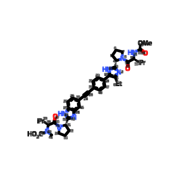 CCc1nc([C@@H]2CCCN2C(=O)[C@@H](NC(=O)OC)C(C)C)[nH]c1-c1ccc(C#Cc2ccc3[nH]c([C@@H]4CCCN4C(=O)[C@H](C(C)C)N(C)C(=O)O)nc3c2)cc1